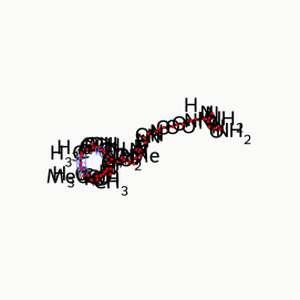 CO[C@H]1C[C@@H]2CC[C@@H](C)[C@@](O)(O2)C(=O)C(=O)N2CCCC[C@H]2C(=O)O[C@H]([C@H](N)C[C@@H]2CC[C@@H](OCc3cccc(-c4cnc(N5CCN(C(=O)CCc6cn(CCOCCOCCOCCC(=O)NCCCCn7nc(-c8ccc9oc(N)nc9c8)c8c(N)ncnc87)nn6)CC5)nc4)c3)[C@H](OC)C2)CC(=O)[C@H](C)/C=C(\C)[C@@H](O)[C@@H](O)C(=O)[C@H](C)C[C@H](C)/C=C/C=C/C=C/1C